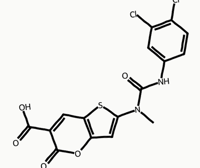 CN(C(=O)Nc1ccc(Cl)c(Cl)c1)c1cc2oc(=O)c(C(=O)O)cc2s1